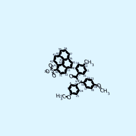 COc1ccc([S+](C(=O)c2ccc(C)cc2)c2ccc(OC)cc2)cc1.O=S(=O)([O-])c1ccc2ccc3cccc4ccc1c2c34